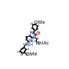 COc1ccc(-c2nc3ccc(NCc4cccc(OC)c4)nc3n(CCNC(C)=O)c2=O)cc1